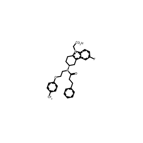 O=C(O)Cn1c2c(c3cc(F)ccc31)C[C@@H](N(CCOc1ccc(C(F)(F)F)cc1)C(=O)CCc1ccccc1)CC2